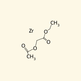 CCOC(=O)COC(C)=O.[Zr]